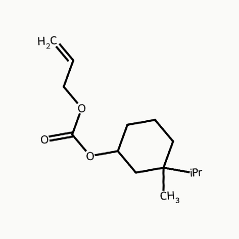 C=CCOC(=O)OC1CCCC(C)(C(C)C)C1